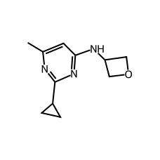 Cc1cc(NC2COC2)nc(C2CC2)n1